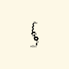 CCCCCCCCC=COc1ccc(-c2ncc(CCCCCC(C)CC)cn2)cc1